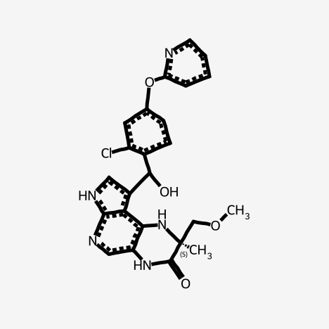 COC[C@]1(C)Nc2c(cnc3[nH]cc(C(O)c4ccc(Oc5ccccn5)cc4Cl)c23)NC1=O